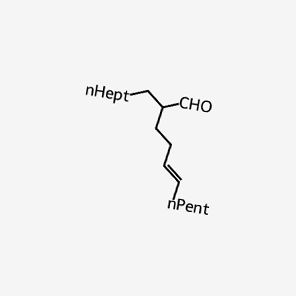 [CH2]CCCCCCCC(C=O)CCC=CCCCCC